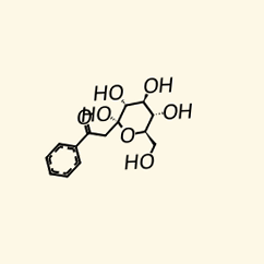 O=C(C[C@]1(O)O[C@H](CO)[C@@H](O)[C@H](O)[C@H]1O)c1ccccc1